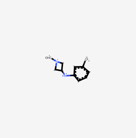 O=CN1CC(Nc2cccc(C(F)(F)F)c2)C1